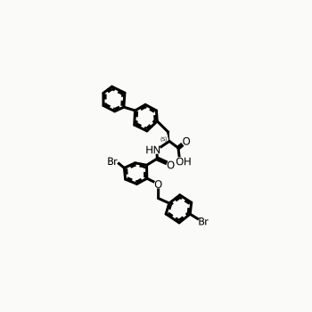 O=C(N[C@@H](Cc1ccc(-c2ccccc2)cc1)C(=O)O)c1cc(Br)ccc1OCc1ccc(Br)cc1